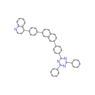 c1ccc(-c2nc(-c3ccccc3)nc(-c3ccc(-c4ccc5ccc(-c6ccc(-c7ccnc8ccccc78)cc6)cc5c4)cc3)n2)cc1